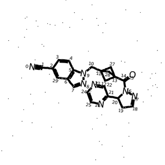 N#Cc1ccc2c(cnn2CC23CC(C(=O)N4N=CCC4c4cnccn4)(C2)C3)c1